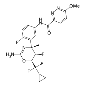 COc1ccc(C(=O)Nc2ccc(F)c([C@@]3(C)N=C(N)O[C@H](C(F)(F)C4CC4)[C@@H]3F)c2)nn1